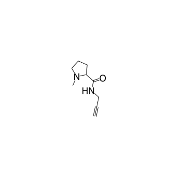 C#CCNC(=O)C1CCCN1C